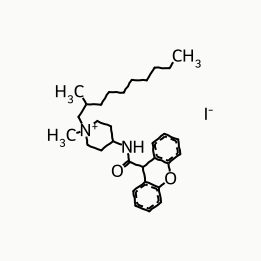 CCCCCCCCC(C)C[N+]1(C)CCC(NC(=O)C2c3ccccc3Oc3ccccc32)CC1.[I-]